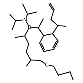 C=CCC(C)C1C=CC=CC1C(C)B(C(C)CCC(C)CCCCCC)N(C(C)C)C(C)C